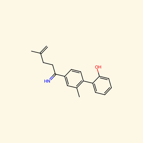 C=C(C)CCC(=N)c1ccc(-c2ccccc2O)c(C)c1